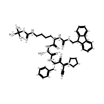 C[C@H](NC(=O)[C@@H](CCCCNC(=O)OC(C)(C)C)NC(=O)OCC1c2ccccc2-c2ccccc21)C(=O)N[C@@H](Cc1ccccc1)C(=O)C(C#N)=S1CCCC1